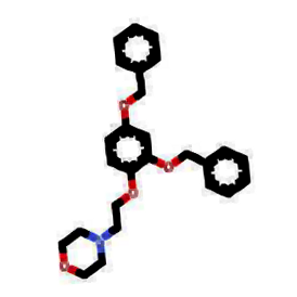 c1ccc(COc2ccc(OCCN3CCOCC3)c(OCc3ccccc3)c2)cc1